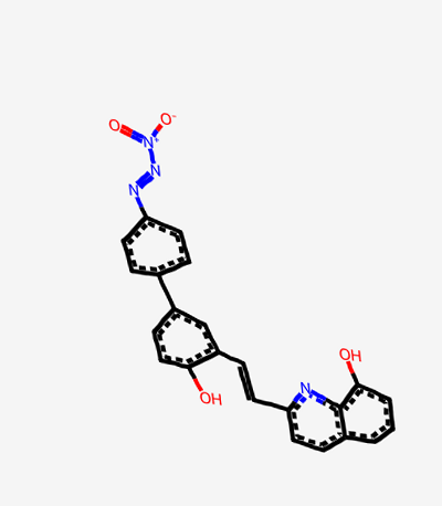 O=[N+]([O-])N=Nc1ccc(-c2ccc(O)c(C=Cc3ccc4cccc(O)c4n3)c2)cc1